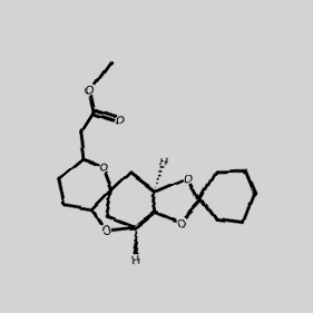 COC(=O)CC1CCC2O[C@@H]3CC2(C[C@H]2OC4(CCCCC4)OC32)O1